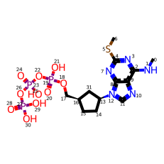 CNc1nc(SC)nc2c1ncn2[C@H]1CC[C@@H](COP(=O)(O)OP(=O)(O)OP(=O)(O)O)C1